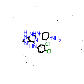 N[C@H]1CC[C@H](Nc2nc(Nc3ccc(Cl)c(Cl)c3)c3nc[nH]c3n2)CC1